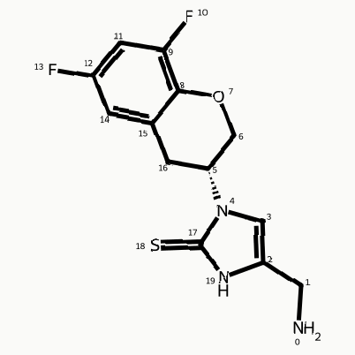 NCc1cn([C@H]2COc3c(F)cc(F)cc3C2)c(=S)[nH]1